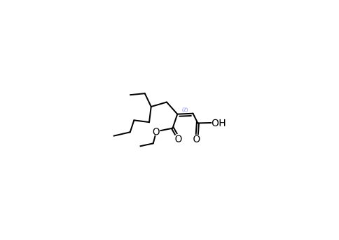 CCCCC(CC)C/C(=C/C(=O)O)C(=O)OCC